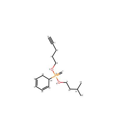 C#CCCCOP(=C)(OCCC(C)C)C1C=CC=CC1